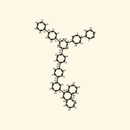 c1ccc(-c2ccc(-c3nc(-c4ccc(-c5ccccc5)cc4)nc(-c4ccc(-c5ccc(-c6cccc(-c7cc8cccnc8c8ccccc78)c6)cc5)cc4)n3)cc2)cc1